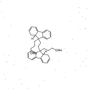 COCCCC1(CCC2(CCCOC)c3ccccc3C3=CC=CC[C@H]32)c2ccccc2C2=CC=CC[C@H]21